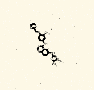 Cc1cc(Nc2ncnc3ccc(NC4=N[C@H](C)[C@H](C)O4)cc23)ccc1OCc1nccs1